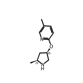 Cc1ccc(O[C@H]2CN[C@@H](C)C2)nc1